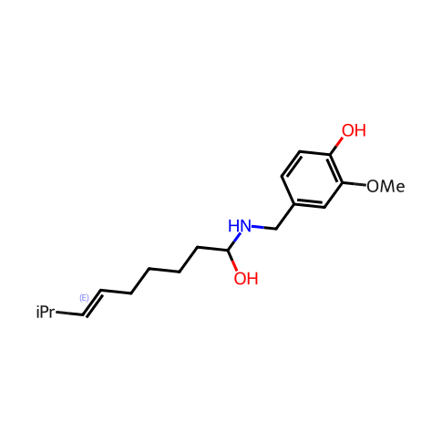 COc1cc(CNC(O)CCCC/C=C/C(C)C)ccc1O